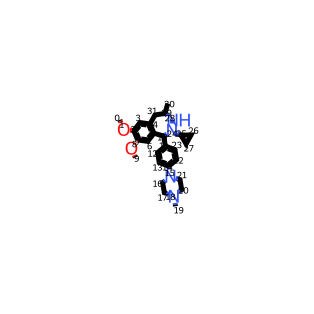 COc1cc2c(cc1OC)C(c1ccc(N3CCN(C)CC3)cc1)N(C1CC1)NC(C)C2